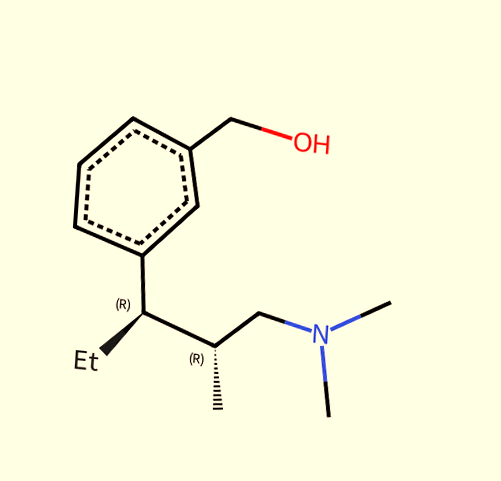 CC[C@@H](c1cccc(CO)c1)[C@@H](C)CN(C)C